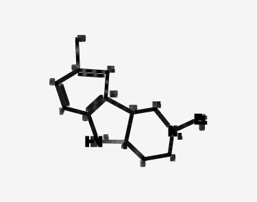 CCN1CCC2Nc3ccc(C)cc3C2C1